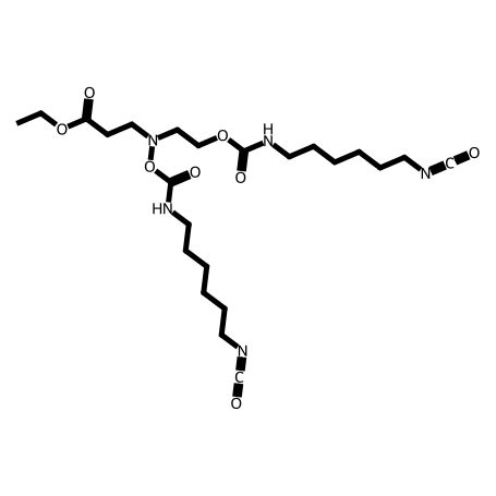 CCOC(=O)CCN(CCOC(=O)NCCCCCCN=C=O)OC(=O)NCCCCCCN=C=O